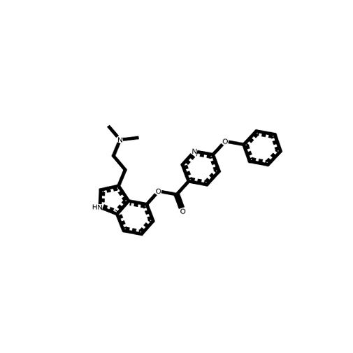 CN(C)CCc1c[nH]c2cccc(OC(=O)c3ccc(Oc4ccccc4)nc3)c12